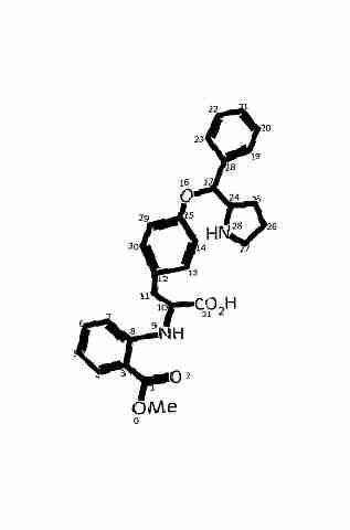 COC(=O)c1ccccc1NC(Cc1ccc(OC(c2ccccc2)C2CCCN2)cc1)C(=O)O